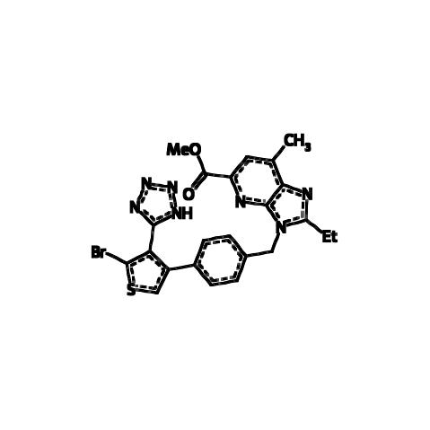 CCc1nc2c(C)cc(C(=O)OC)nc2n1Cc1ccc(-c2csc(Br)c2-c2nnn[nH]2)cc1